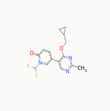 Cc1ncc(-c2ccc(=O)n(C(F)F)c2)c(OCC2CC2)n1